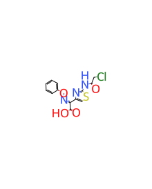 O=C(CCl)Nc1nc(/C(=N\Oc2ccccc2)C(=O)O)cs1